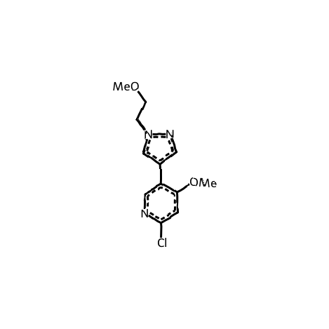 COCCn1cc(-c2cnc(Cl)cc2OC)cn1